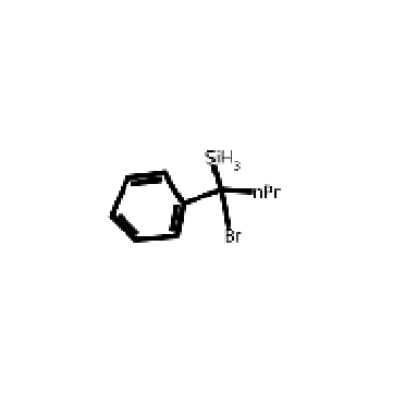 CCCC([SiH3])(Br)c1ccccc1